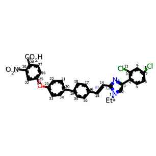 CCn1cc(-c2ccc(Cl)cc2Cl)nc1/C=C/c1ccc(-c2ccc(Oc3ccc(C(=O)O)c([N+](=O)[O-])c3)cc2)cc1